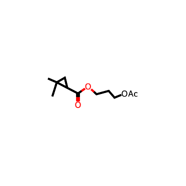 CC(=O)OCCCOC(=O)C1CC1(C)C